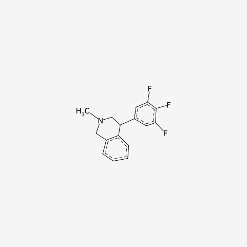 CN1Cc2ccccc2C(c2cc(F)c(F)c(F)c2)C1